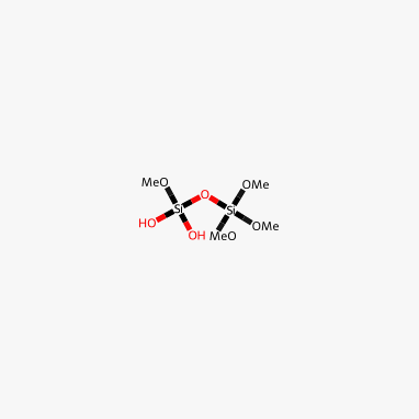 CO[Si](O)(O)O[Si](OC)(OC)OC